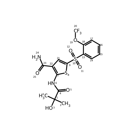 CC(C)(O)C(=O)Nc1sc(S(=O)(=O)c2ccccc2OC(F)(F)F)cc1C(N)=O